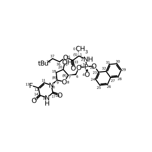 C[C@H](NP(=O)(OC[C@H]1O[C@@H](n2cc(F)c(=O)[nH]c2=O)CC1O)Oc1cccc2ccccc12)C(=O)OCCC(C)(C)C